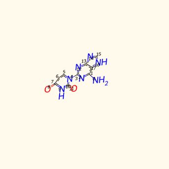 Nc1nc(-n2ccc(=O)[nH]c2=O)nc2nc[nH]c12